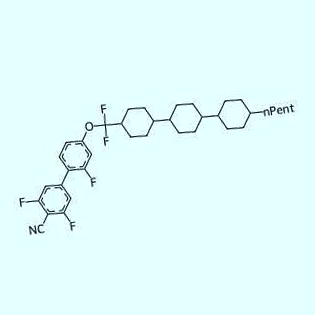 CCCCCC1CCC(C2CCC(C3CCC(C(F)(F)Oc4ccc(-c5cc(F)c(C#N)c(F)c5)c(F)c4)CC3)CC2)CC1